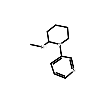 CNC1CCCCN1c1cccnc1